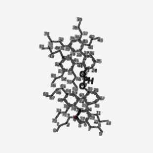 CCCCc1cc(CCC)c(CCC)c(-c2cccc(OPOc3cccc(-c4cc(CCCC)cc(CCC)c4CCC)c3-c3cc(CCCC)cc(CCC)c3CCC)c2-c2cc(CCCC)cc(CCC)c2CCC)c1